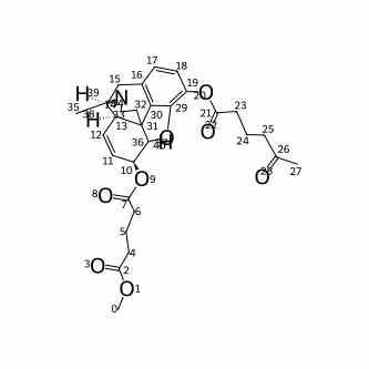 COC(=O)CCCC(=O)O[C@H]1C=C[C@H]2[C@H]3Cc4ccc(OC(=O)CCCC(C)=O)c5c4C2(CCN3C)[C@H]1O5